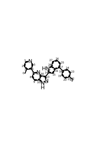 Cc1ccncc1-c1ccc2[nH]nc(-c3cc4c(-c5ccc(F)cc5)cccc4[nH]3)c2n1